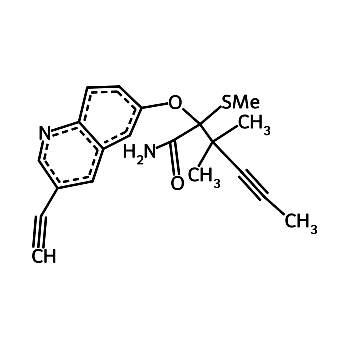 C#Cc1cnc2ccc(OC(SC)(C(N)=O)C(C)(C)C#CC)cc2c1